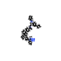 CCC1Nc2ccccc2N1c1ccc(-c2ccccc2-c2cccc3c(-c4ccc(/C(C)=C/CC/C(=N\Cc5ccccc5)c5ccc(-c6ccccc6)cc5)cc4)cccc23)cc1